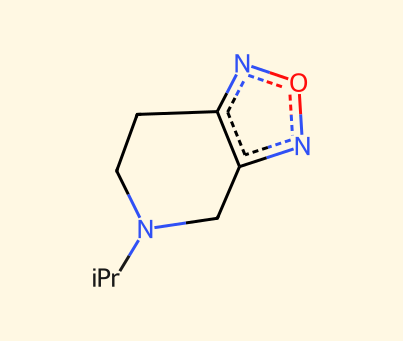 CC(C)N1CCc2nonc2C1